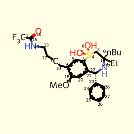 CCCC[C@]1(CC)CS(O)(O)c2cc(CCCCNC(=O)C(F)(F)F)c(OC)cc2[C@@H](c2ccccc2)N1